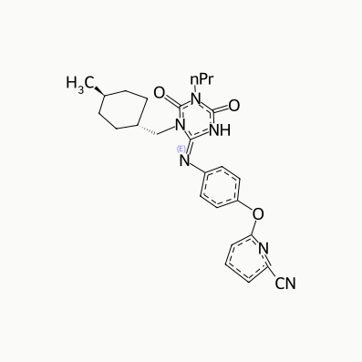 CCCn1c(=O)[nH]/c(=N\c2ccc(Oc3cccc(C#N)n3)cc2)n(C[C@H]2CC[C@H](C)CC2)c1=O